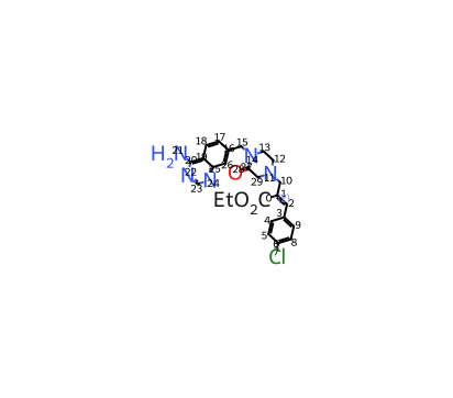 CCOC(=O)/C(=C\c1ccc(Cl)cc1)CN1CCN(Cc2ccc3c(N)ncnc3c2)C(=O)C1